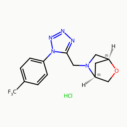 Cl.FC(F)(F)c1ccc(-n2nnnc2CN2C[C@@H]3C[C@H]2CO3)cc1